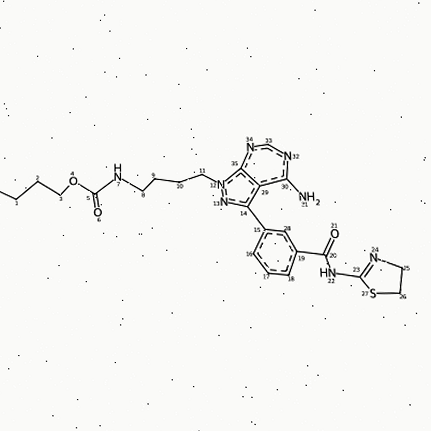 CCCCOC(=O)NCCCCn1nc(-c2cccc(C(=O)NC3=NCCS3)c2)c2c(N)ncnc21